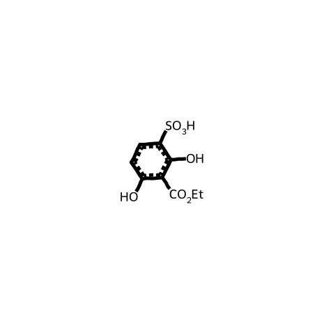 CCOC(=O)c1c(O)ccc(S(=O)(=O)O)c1O